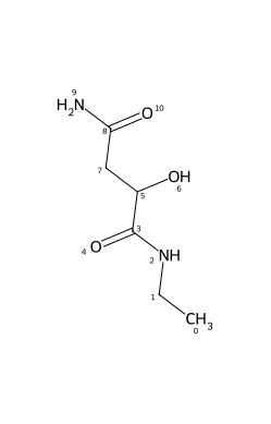 CCNC(=O)C(O)CC(N)=O